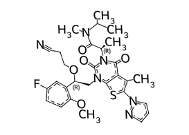 COc1ccc(F)cc1[C@H](Cn1c(=O)n([C@H](C)C(=O)N(C)C(C)C)c(=O)c2c(C)c(-n3cccn3)sc21)OCCC#N